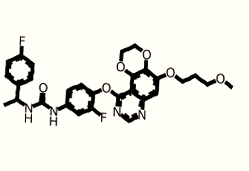 COCCCOc1cc2ncnc(Oc3ccc(NC(=O)NC(C)c4ccc(F)cc4)cc3F)c2c2c1OCCO2